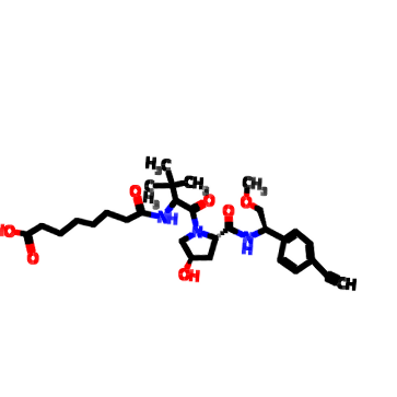 C#Cc1ccc([C@H](COC)NC(=O)[C@@H]2C[C@@H](O)CN2C(=O)C(NC(=O)CCCCCCC(=O)O)C(C)(C)C)cc1